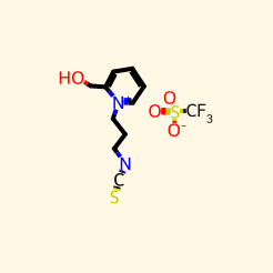 O=S(=O)([O-])C(F)(F)F.OCc1cccc[n+]1CCCN=C=S